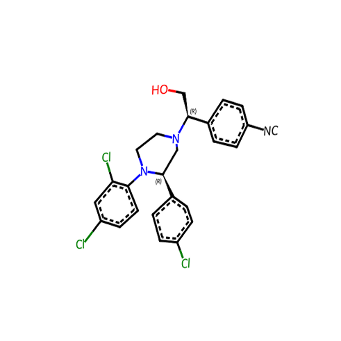 [C-]#[N+]c1ccc([C@H](CO)N2CCN(c3ccc(Cl)cc3Cl)[C@H](c3ccc(Cl)cc3)C2)cc1